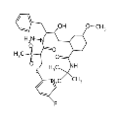 COC1CCC(C(=O)NC(C)(C)C)C(CC(O)C(Cc2ccccc2)N(N)C(=O)C(CSc2ccc(F)cc2)S(C)(=O)=O)C1